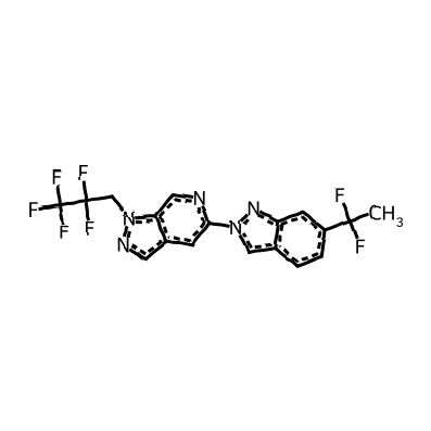 CC(F)(F)c1ccc2cn(-c3cc4cnn(CC(F)(F)C(F)(F)F)c4cn3)nc2c1